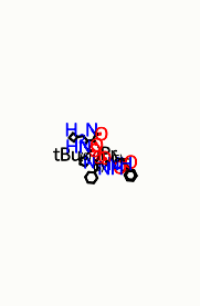 CC(C)[C@@H](CS(=O)(=O)c1ccccc1)NC(=O)N[C@H](C(=O)N1CCC(C(C)(C)C)[C@H]1C(=O)NC(CC1CCC1)C(=O)C(N)=O)C1CCCCC1